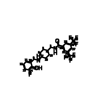 O=C(NCC1CCC(NCc2cccc(F)c2O)CC1)c1cc(C(F)(F)F)cc(C(F)(F)F)c1